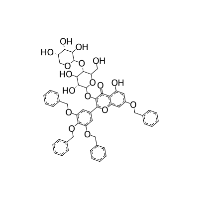 O=c1c(OC2OC(CO)[C@@H](OC3OC[C@H](O)[C@H](O)C3O)C(O)[C@H]2O)c(-c2cc(OCc3ccccc3)c(OCc3ccccc3)c(OCc3ccccc3)c2)oc2cc(OCc3ccccc3)cc(O)c12